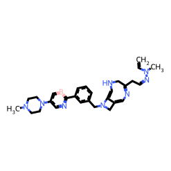 C=CN(C)/N=C\C/C1=N/C=C2/CN(Cc3cccc(-c4bcc(N5CCN(C)CC5)cn4)c3)/C2=C\NC1